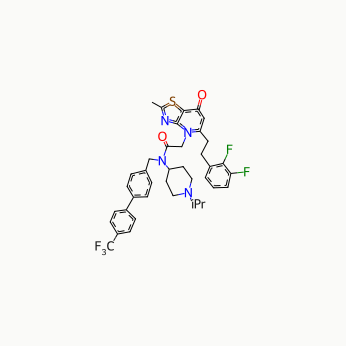 Cc1nc2c(s1)c(=O)cc(CCc1cccc(F)c1F)n2CC(=O)N(Cc1ccc(-c2ccc(C(F)(F)F)cc2)cc1)C1CCN(C(C)C)CC1